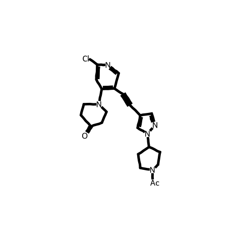 CC(=O)N1CCC(n2cc(C#Cc3cnc(Cl)cc3N3CCC(=O)CC3)cn2)CC1